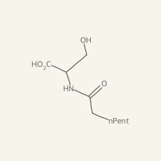 CCCCCCC(=O)NC(CO)C(=O)O